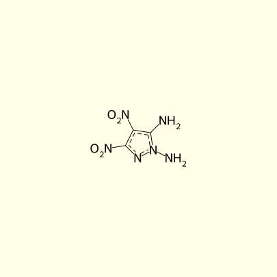 Nc1c([N+](=O)[O-])c([N+](=O)[O-])nn1N